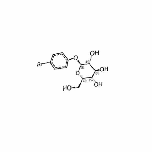 OC[C@H]1O[C@@H](Oc2ccc(Br)cc2)[C@H](O)[C@@H](O)[C@@H]1O